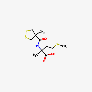 CSCCC(C)(NC(=O)C1(C)CSSC1)C(=O)O